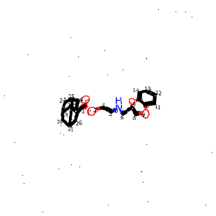 O=C(OCCNCC1COc2ccccc2O1)C12CC3CC(CC(C3)C1)C2